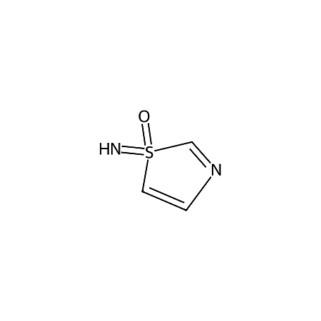 N=S1(=O)C=CN=C1